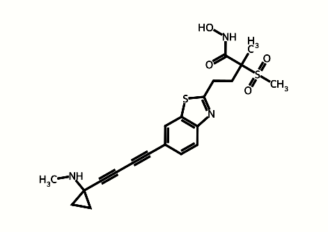 CNC1(C#CC#Cc2ccc3nc(CCC(C)(C(=O)NO)S(C)(=O)=O)sc3c2)CC1